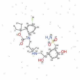 CCC1(CC)OC(=O)N(CCC(C)(C)NCC(O)c2ccc(O)c(CS(N)(=O)=O)c2)c2ccc(F)cc21